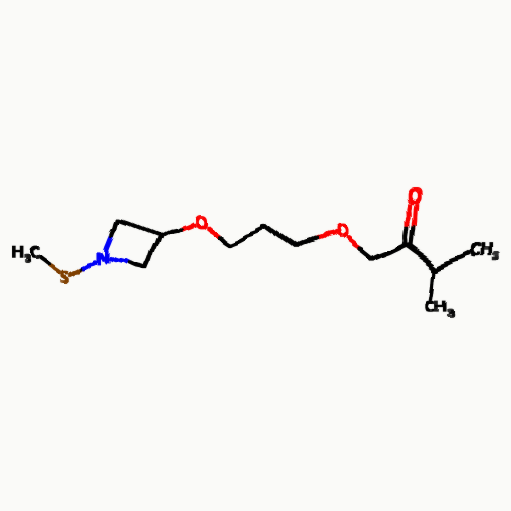 CSN1CC(OCCCOCC(=O)C(C)C)C1